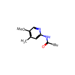 COc1cnc(NC(=O)C(C)(C)C)cc1C